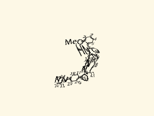 COc1ccccc1C(=O)Nc1cn2nc(Oc3ccc(-n4ccnc4)cc3)ccc2n1